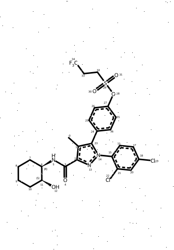 Cc1c(C(=O)N[C@@H]2CCCC[C@@H]2O)nn(-c2ccc(Cl)cc2Cl)c1-c1ccc(OS(=O)(=O)CCC(F)(F)F)cc1